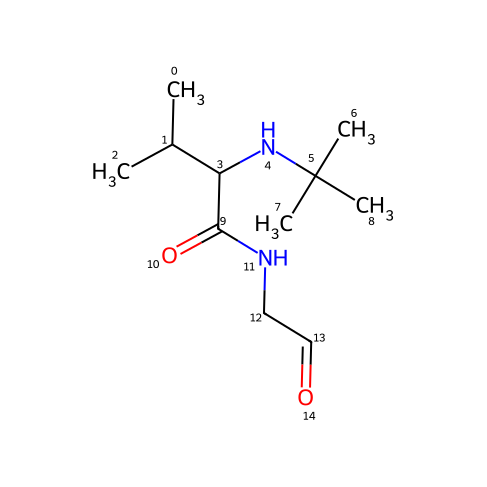 CC(C)C(NC(C)(C)C)C(=O)NCC=O